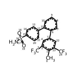 Cc1c(C(F)(F)F)cc(-c2ccccc2-c2ccc(S(N)(=O)=O)cc2)cc1C(F)(F)F